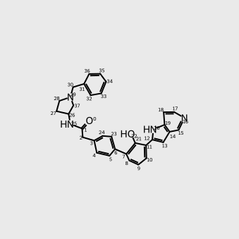 O=C(Cc1ccc(-c2cccc(-c3cc4cnccc4[nH]3)c2O)cc1)NC1CCN(Cc2ccccc2)C1